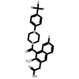 Cc1c(CC(=O)O)cc2ccc(F)cc2c1C(=O)N1CCN(c2ccc(C(F)(F)F)cc2)CC1